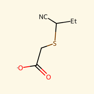 CCC(C#N)SCC([O])=O